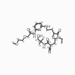 CCN1C(=O)C(CCNc2cccc(NC(=O)COCCOC)n2)SC1CC(C#N)C(=O)NC(C)(C)CO